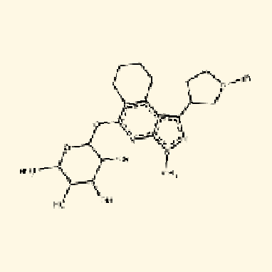 CCCN1CCC(c2nn(C)c3nc(OC4OC(C(=O)O)C(O)C(O)C4O)c4c(c23)CCCC4)C1